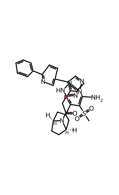 Cc1n[nH]c(CC(=O)N2[C@@H]3CC[C@H]2CC(c2nc4c(-c5ccc(-c6ccccc6)nc5)cnn4c(N)c2S(C)(=O)=O)C3)n1